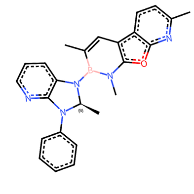 CC1=Cc2c(oc3nc(C)ccc23)N(C)B1N1c2cccnc2N(c2ccccc2)[C@@H]1C